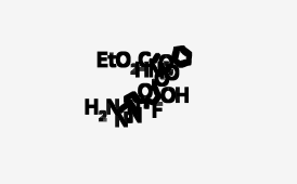 CCOC(=O)C(C)NP(=O)(OCC1OC(C)(c2ccc3c(N)ncnn23)C(F)C1O)Oc1ccccc1